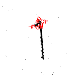 CCCCCCCCCCCCCCCCCCCCOC1=C(O)C(=O)O[C@@H]1[C@@H](O)CO